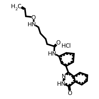 C=CCONCCCCC(=O)Nc1cccc(-c2n[nH]c(=O)c3ccccc23)c1.Cl